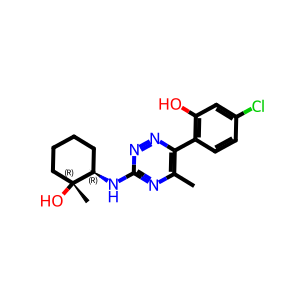 Cc1nc(N[C@@H]2CCCC[C@@]2(C)O)nnc1-c1ccc(Cl)cc1O